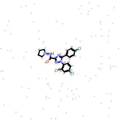 O=C(NN1CCCC1)c1nc(-c2ccc(Cl)cc2)n(-c2ccc(Cl)cc2Cl)n1